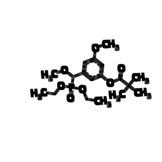 CCOP(=O)(OCC)C(OC)c1cc(OC)cc(OC(=O)C(C)(C)C)c1